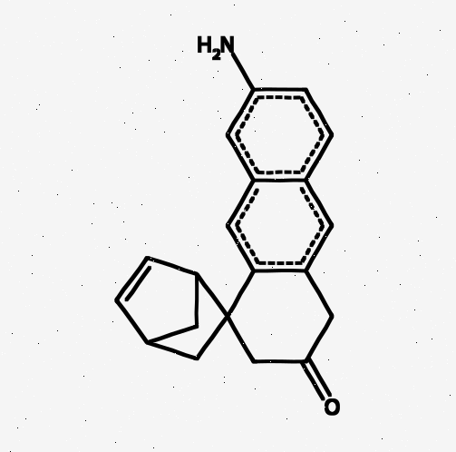 Nc1ccc2cc3c(cc2c1)C1(CC(=O)C3)CC2C=CC1C2